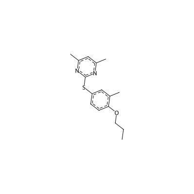 CCCOc1ccc(Sc2nc(C)cc(C)n2)cc1C